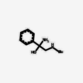 CCC(C)NCC(N)(O)c1ccccc1